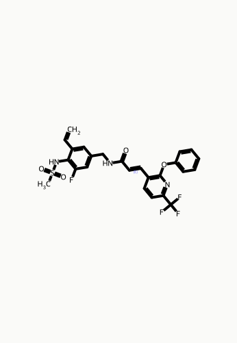 C=Cc1cc(CNC(=O)/C=C/c2ccc(C(F)(F)F)nc2Oc2ccccc2)cc(F)c1NS(C)(=O)=O